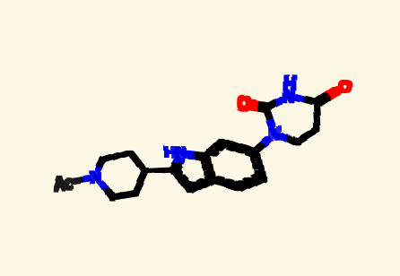 CC(=O)N1CCC(c2cc3ccc(N4CCC(=O)NC4=O)cc3[nH]2)CC1